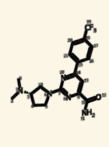 CN(C)[C@H]1CCN(c2nc(C(N)=O)cc(-c3ccc(C(F)(F)F)cc3)n2)C1